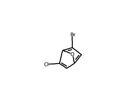 Clc1cc2cc(Br)c1o2